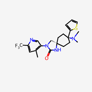 Cc1cc(C(F)(F)F)ncc1N1C[C@]2(CC[C@](c3cccs3)(N(C)C)CC2)NC1=O